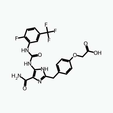 NC(=O)c1nc(Cc2ccc(OCC(=O)O)cc2)[nH]c1NC(=O)Nc1cc(C(F)(F)F)ccc1F